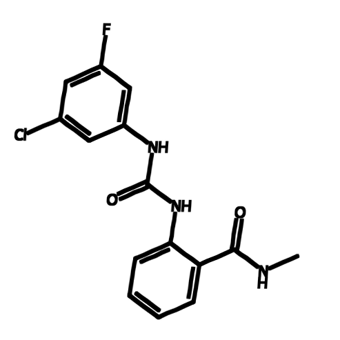 CNC(=O)c1ccccc1NC(=O)Nc1cc(F)cc(Cl)c1